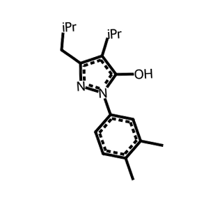 Cc1ccc(-n2nc(CC(C)C)c(C(C)C)c2O)cc1C